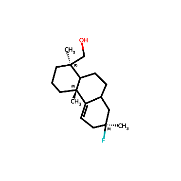 C[C@]1(F)CC=C2C(CCC3[C@](C)(CO)CCC[C@@]23C)C1